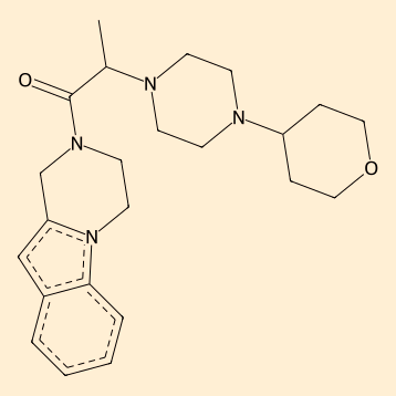 CC(C(=O)N1CCn2c(cc3ccccc32)C1)N1CCN(C2CCOCC2)CC1